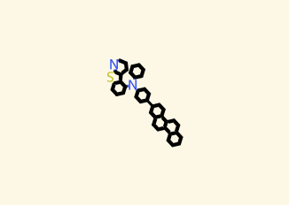 c1ccc(N(c2ccc(-c3ccc4c(ccc5c6ccccc6ccc45)c3)cc2)c2cccc3sc4ncccc4c23)cc1